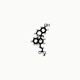 COC(=O)/C=C/c1ccc(C2(C)c3ccc(O)cc3CCN2c2ccccc2)cc1